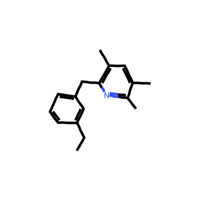 CCc1cccc(Cc2nc(C)c(C)cc2C)c1